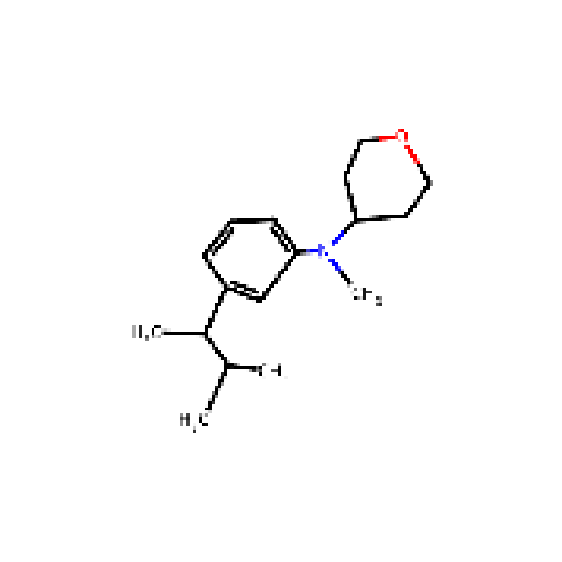 CC(C)C(C)c1cccc(N(C)C2CCOCC2)c1